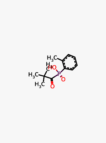 Cc1ccccc1P(=O)(O)C(=O)C(C)(C)C